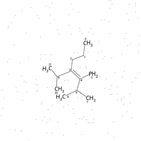 CCCC(=C(P)C(C)C)C(C)C